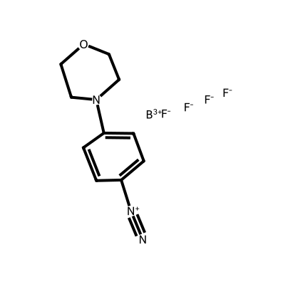 N#[N+]c1ccc(N2CCOCC2)cc1.[B+3].[F-].[F-].[F-].[F-]